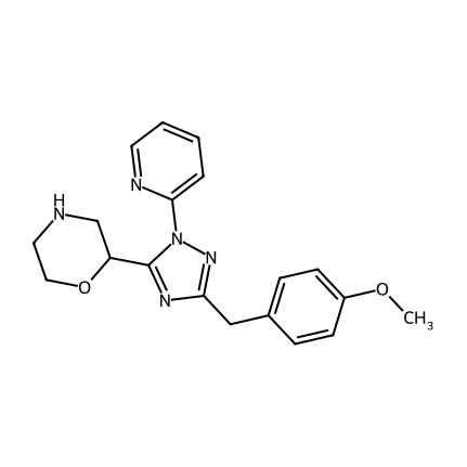 COc1ccc(Cc2nc(C3CNCCO3)n(-c3ccccn3)n2)cc1